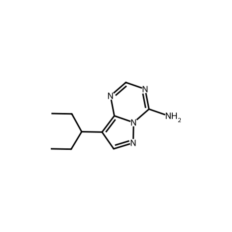 CCC(CC)c1cnn2c(N)ncnc12